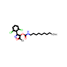 CCCCCCCCCCCCCCCCCCNC(=O)Oc1c(-c2c(Cl)cccc2Cl)noc1CC